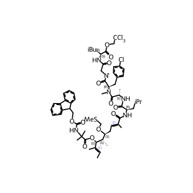 C/C=C(\C)[C@@H](OC(=O)C(C)(C)NC(=O)OCC1c2ccccc2-c2ccccc21)[C@@H](C)[C@H](C/C=C(\C)C(=O)N[C@H](CC(C)C)C(=O)N[C@@H](C)C(=O)N(C)[C@H](Cc1ccc(Cl)cc1)C(=O)N(C)CC(=O)N[C@H](C(=O)OCC(Cl)(Cl)Cl)[C@H](C)CC)OCSC